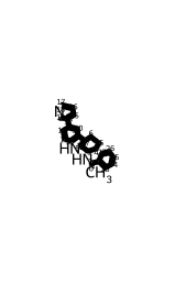 CC(NC1CCCc2c1[nH]c1ccc(-c3cccnc3)cc21)c1ccccc1